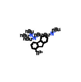 CCCC[N-]CCCC.CCCC[N-]CCCC.CCCC[N-]CCCC.[Ti+3][c]1cccc2c1Cc1ccccc1-2